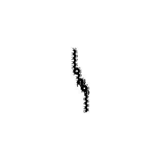 CCCCCCCCCOc1ccc(-c2ncc(CCC3CCC(CCCCCCCCC)CC3)cn2)cc1